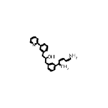 C=C(/C=C\C=C/N)c1cccc(CC(O)Cc2cccc(-c3ccccn3)c2)c1